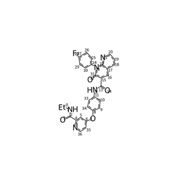 CCNC(=O)c1cc(Oc2ccc(NC(=O)c3cc4cccnc4n(-c4ccc(F)cc4)c3=O)cc2)ccn1